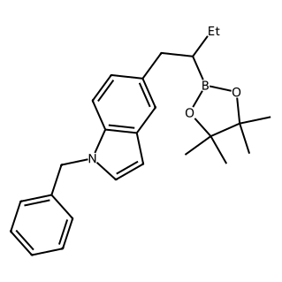 CCC(Cc1ccc2c(ccn2Cc2ccccc2)c1)B1OC(C)(C)C(C)(C)O1